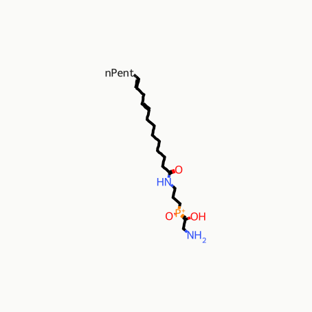 CCCCCC=CCC=CCCCCCCCC(=O)NCCC/[P+]([O-])=C(\O)CN